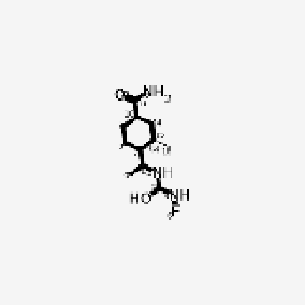 CC(NC(O)NF)C1CCC(C(N)=O)C[C@@H]1C